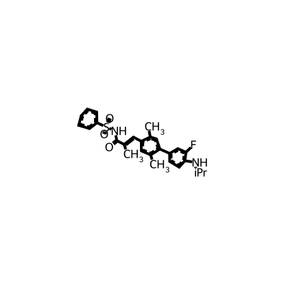 C/C(=C\c1cc(C)c(-c2ccc(NC(C)C)c(F)c2)cc1C)C(=O)NS(=O)(=O)c1ccccc1